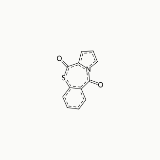 O=c1sc2ccccc2c(=O)n2cccc12